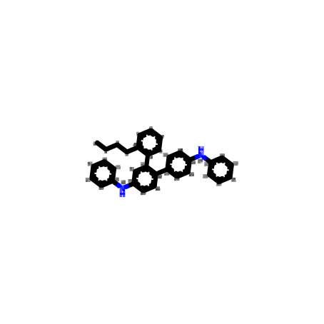 CCCCc1ccccc1-c1cc(Nc2ccccc2)ccc1-c1ccc(Nc2ccccc2)cc1